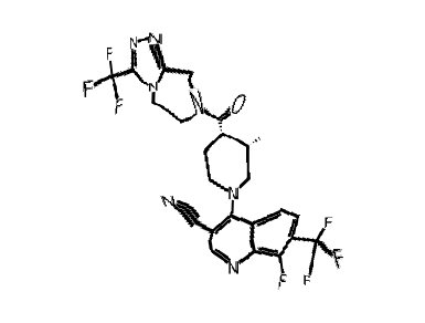 C[C@@H]1CN(c2c(C#N)cnc3c(F)c(C(F)(F)F)ccc23)CC[C@@H]1C(=O)N1CCn2c(nnc2C(F)(F)F)C1